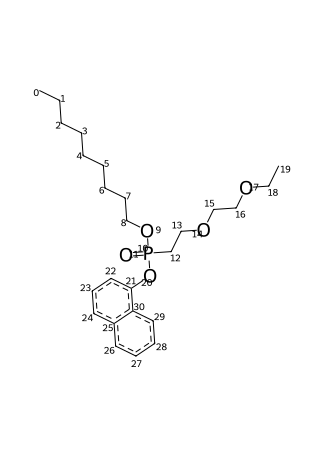 CCCCCCCCCOP(=O)(CCOCCOCC)Oc1cccc2ccccc12